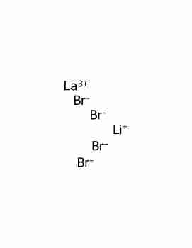 [Br-].[Br-].[Br-].[Br-].[La+3].[Li+]